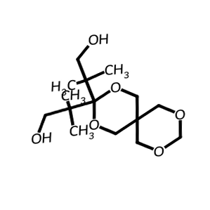 CC(C)(CO)C1(C(C)(C)CO)OCC2(COCOC2)CO1